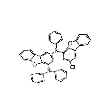 Clc1cc(N(c2ccccc2)c2cc(N(c3ccccc3)c3ccccc3)c3oc4ccccc4c3c2)c2oc3ccccc3c2c1